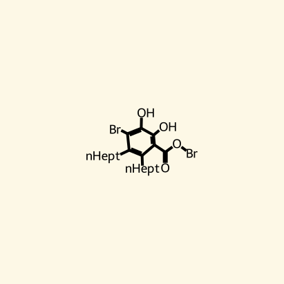 CCCCCCCc1c(Br)c(O)c(O)c(C(=O)OBr)c1CCCCCCC